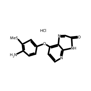 CSc1cc(Oc2ccnc3[nH]c(=O)cnc23)ccc1N.Cl